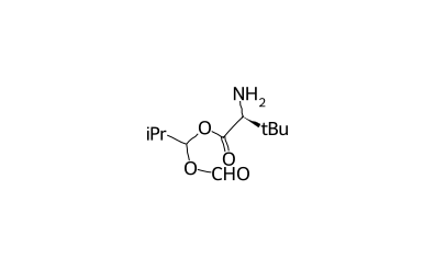 CC(C)C(OC=O)OC(=O)[C@@H](N)C(C)(C)C